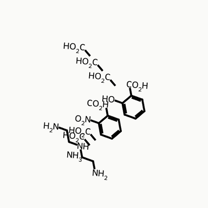 CC(=O)O.CC(=O)O.CC(=O)O.CC(=O)O.CC(=O)O.N.NCCNCCN.O=C(O)c1ccccc1O.O=C(O)c1ccccc1[N+](=O)[O-]